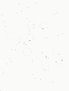 CC1(c2ccc(N(c3cccc(-c4ccc5c(c4)c4ccccc4n5-c4cccc5ccccc45)c3)c3ccc4ccccc4c3)cc2)c2ccccc2-c2ccccc21